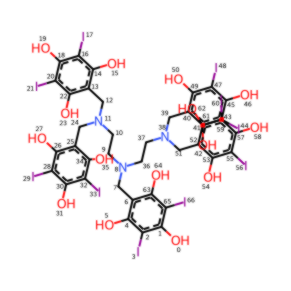 Oc1c(I)c(O)c(CN(CCN(Cc2c(O)c(I)c(O)c(I)c2O)Cc2c(O)c(I)c(O)c(I)c2O)CCN(Cc2c(O)c(I)c(O)c(I)c2O)Cc2c(O)c(I)c(O)c(I)c2O)c(O)c1I